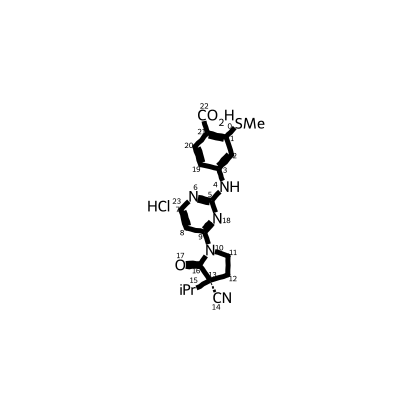 CSc1cc(Nc2nccc(N3CC[C@@](C#N)(C(C)C)C3=O)n2)ccc1C(=O)O.Cl